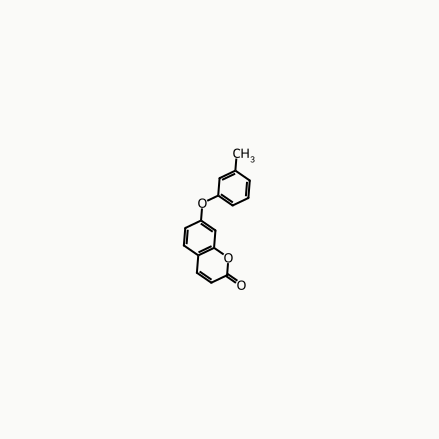 Cc1cccc(Oc2ccc3ccc(=O)oc3c2)c1